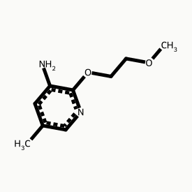 COCCOc1ncc(C)cc1N